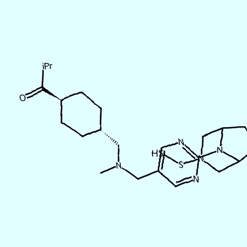 CC(C)C(=O)[C@H]1CC[C@H](CN(C)Cc2cnc(N3C4CCC3CN(SS)C4)nc2)CC1